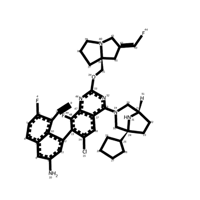 C#Cc1c(F)ccc2cc(N)cc(-c3c(Cl)cc4c(N5C[C@@H]6CC[C@](C7CCCC7)(C5)N6)nc(OC[C@@]56CCCN5C/C(=C\F)C6)nc4c3F)c12